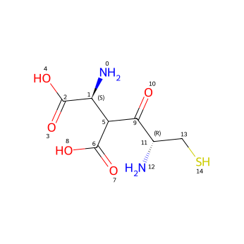 N[C@H](C(=O)O)C(C(=O)O)C(=O)[C@@H](N)CS